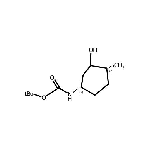 C[C@@H]1CC[C@H](NC(=O)OC(C)(C)C)CC1O